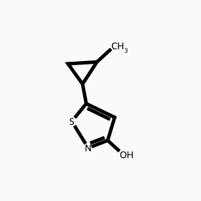 CC1CC1c1cc(O)ns1